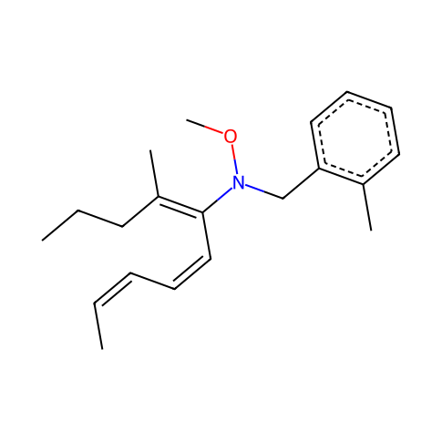 C\C=C/C=C\C(=C(\C)CCC)N(Cc1ccccc1C)OC